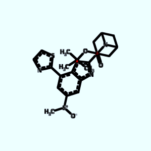 C[S+]([O-])c1cc(-c2nccs2)c2oc(N3CC4CC(C3)N4C(=O)OC(C)(C)C)nc2c1